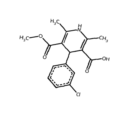 COC(=O)C1=C(C)NC(C)=C(C(=O)O)C1c1cccc(Cl)c1